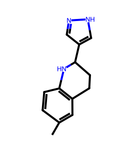 Cc1ccc2c(c1)CCC(c1cn[nH]c1)N2